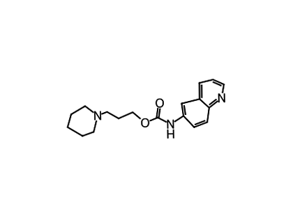 O=C(Nc1ccc2ncccc2c1)OCCCN1CCCCC1